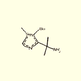 Cn1cnc(C(C)(C)N)c1C(C)(C)C